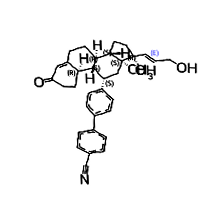 C[C@]12C[C@H](c3ccc(-c4ccc(C#N)cc4)cc3)[C@H]3[C@@H](CCC4=CC(=O)CC[C@@H]43)[C@@H]1CC[C@@]2(O)/C=C/CO